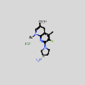 Cc1c(F)c(N2CC[C@H](N)C2)nc2c1CC(C(=O)O)=CN2C(C)(C)C.Cl